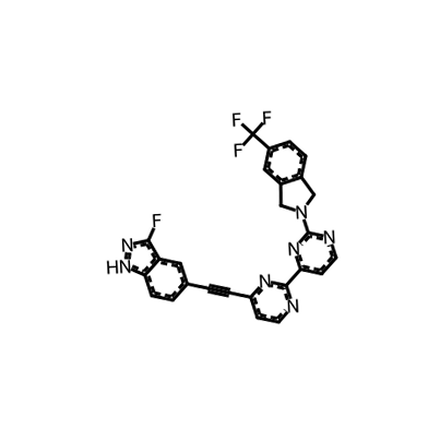 Fc1n[nH]c2ccc(C#Cc3ccnc(-c4ccnc(N5Cc6ccc(C(F)(F)F)cc6C5)n4)n3)cc12